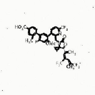 C=C(/C=C(\C=C(/C)C(F)(F)F)C(F)(F)F)[C@H]1OC(=O)N(Cc2nc(C(F)(F)F)ccc2-c2cc(-c3ccc(C(=O)O)cc3C)c(F)cc2OC)C12CC2